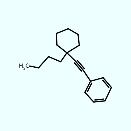 CCCCC1(C#Cc2ccccc2)CCCCC1